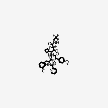 COc1ccc(C(NC(=O)C(Cc2cccc(Cl)c2)NC(=O)c2ccccn2)C(=O)N[C@H](C(=O)C(F)(F)C(=O)NCC(F)(F)F)C2CCC2)cc1